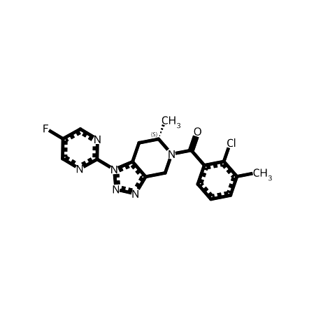 Cc1cccc(C(=O)N2Cc3nnn(-c4ncc(F)cn4)c3C[C@@H]2C)c1Cl